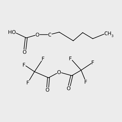 CCCCCCOC(=O)O.O=C(OC(=O)C(F)(F)F)C(F)(F)F